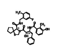 Cc1ccc(F)cc1CNC(=O)[C@H]1N(C(=O)[C@@H](O)[C@H](Cc2ccccc2)NC(=O)c2cccc(O)c2C)CSC12CCCC2